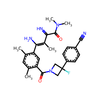 C/C(C(=N)C(=O)N(C)C)=C(/N)c1cc(C(=O)N2CC(F)(c3ccc(C#N)cc3)C2)c(C)cc1C